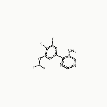 Cc1cncnc1-c1cc(F)c(F)c(OC(F)F)c1